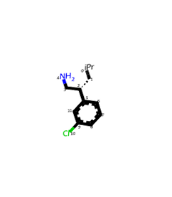 CC(C)C[C@@H](CN)c1cccc(Cl)c1